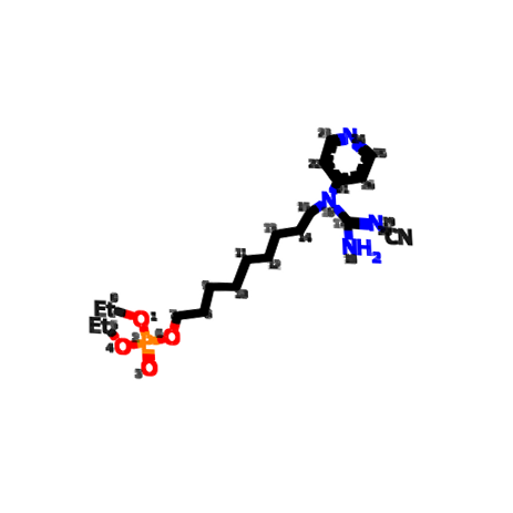 CCOP(=O)(OCC)OCCCCCCCCCN(C(N)=NC#N)c1ccncc1